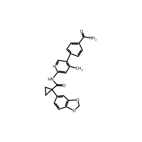 Cc1cc(NC(=O)C2(c3ccc4c(c3)OCO4)CC2)ncc1-c1ccc(C(N)=O)cc1